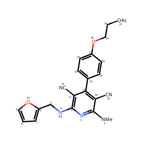 CNc1nc(NCc2ccco2)c(C#N)c(-c2ccc(OCCOC(C)=O)cc2)c1C#N